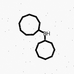 B(C1CCCCCCCC1)C1CCCCCCC1